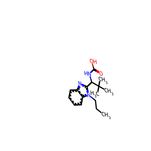 CCCn1c(C(NC(=O)O)C(C)(C)C)nc2ccccc21